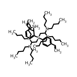 C=Cc1ccc([Si](CC(N(CCCC)CCCC)N(CCCC)CCCC)(CC(N(CCCC)CCCC)N(CCCC)CCCC)C2=CC=CC3(C=C)[SiH2]C23)cc1